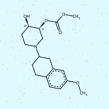 COC(=O)O[C@H]1CN(C2CCc3ccc(OC)cc3C2)CC[C@H]1O